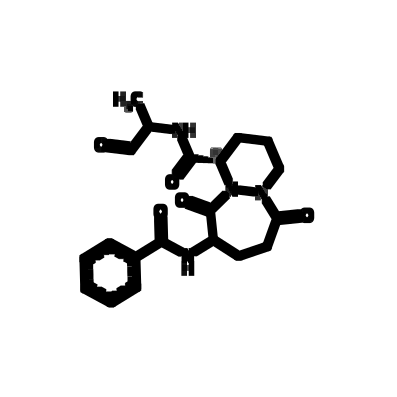 CC(C=O)NC(=O)[C@@H]1CCCN2C(=O)CCC(NC(=O)c3ccccc3)C(=O)N12